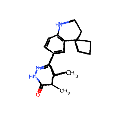 CC1C(=O)NN=C(c2ccc3c(c2)C2(CCC2)CCN3)C1C